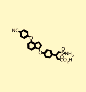 N#Cc1ccc(Oc2cccc3c2CC[C@H]3Oc2ccc(C(CC(=O)O)CS(N)(=O)=O)cc2)cc1